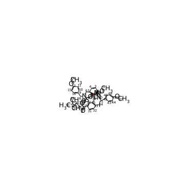 COc1ccc(CN(Cc2ccc(OC)cc2)S(=O)(=O)c2c(S(=O)(=O)CC[Si](C)(C)C)ccc(I)c2-c2nnnn2Cc2ccc(OC)cc2)cc1